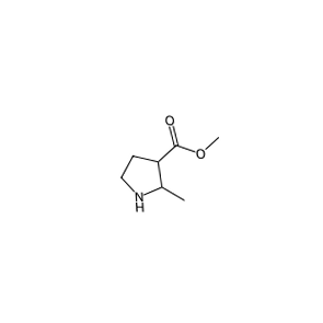 COC(=O)C1CCNC1C